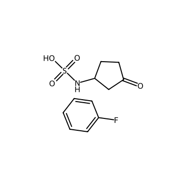 Fc1ccccc1.O=C1CCC(NS(=O)(=O)O)C1